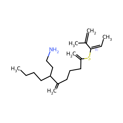 C=C(CCCC(=C)C(CCN)CCCC)S/C(=C/C)C(=C)C